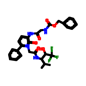 CC(C)C(NC(=O)Cn1c(-c2ccccc2)ccc(NC(=O)CNC(=O)OCc2ccccc2)c1=O)C(O)C(F)(F)F